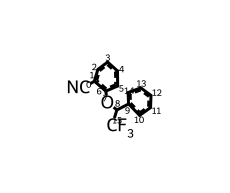 N#Cc1ccccc1OC(c1ccccc1)C(F)(F)F